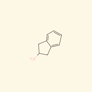 BC1Cc2ccccc2C1